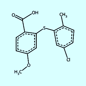 COc1ccc(C(=O)O)c(Sc2cc(Cl)ccc2C)c1